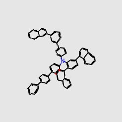 c1ccc(-c2ccc(-c3ccc(N(c4ccc(-c5cccc(-c6ccc7ccccc7c6)c5)cc4)c4cc(-c5cccc6ccccc56)ccc4-c4cccc5ccccc45)cc3)cc2)cc1